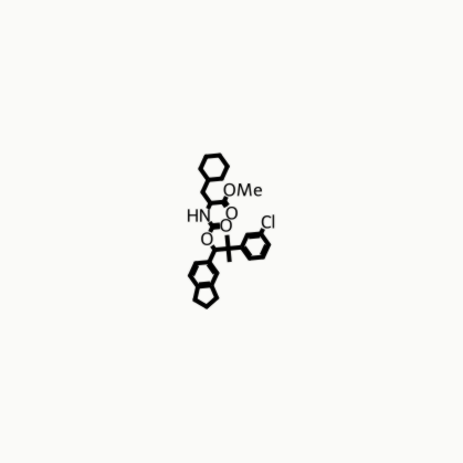 COC(=O)C(CC1CCCCC1)NC(=O)OC(c1ccc2c(c1)CCC2)C(C)(C)c1cccc(Cl)c1